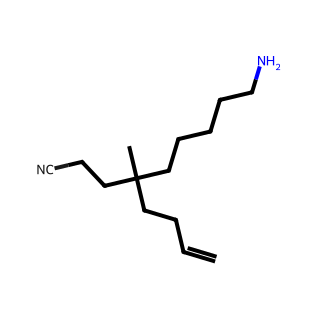 C=CCCC(C)(CCC#N)CCCCCN